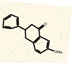 COc1ccc2c(c1)C(=O)CC(c1ccccc1)C2